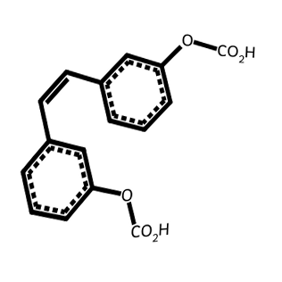 O=C(O)Oc1cccc(/C=C\c2cccc(OC(=O)O)c2)c1